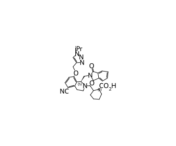 CC(C)n1cc(COc2ccc(C#N)c3c2[C@@H](CN2Cc4ccccc4C2=O)N(C(=O)C2CCCC[C@H]2C(=O)O)CC3)nn1